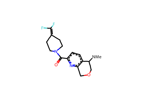 CNC1COCc2nc(C(=O)N3CCC(=C(F)F)CC3)ccc21